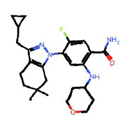 CC1(C)CCc2c(CC3CC3)nn(-c3cc(NC4CCOCC4)c(C(N)=O)cc3F)c2C1